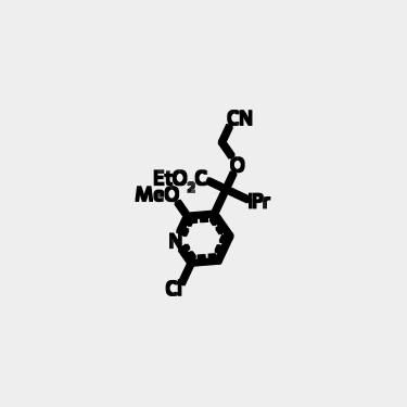 CCOC(=O)C(OCC#N)(c1ccc(Cl)nc1OC)C(C)C